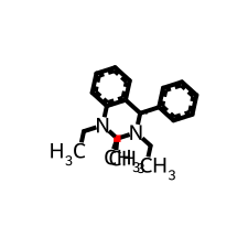 CCN(CC)[C](c1ccccc1)c1ccccc1N(CC)CC